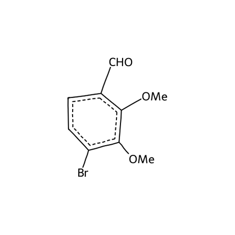 COc1c(Br)ccc(C=O)c1OC